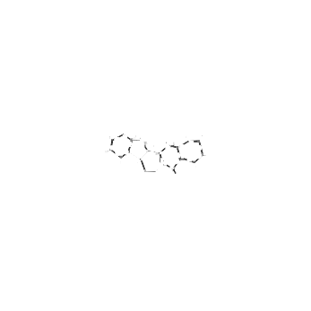 O=c1c2ccccc2nc2n1CC=C1C2=Nc2ccccc21